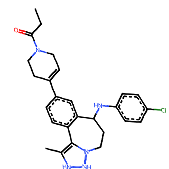 CCC(=O)N1CC=C(c2ccc3c(c2)C(Nc2ccc(Cl)cc2)CCN2NNC(C)=C32)CC1